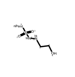 CCCCCS(=O)(=O)NNCCO